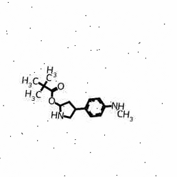 CNc1ccc(C2CNC(OC(=O)C(C)(C)C)C2)cc1